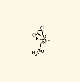 CCc1c(CCOC(N)=O)n[nH]c1Oc1cc(Cl)cc(Cl)c1